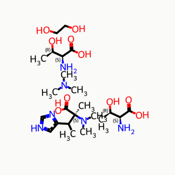 CC(c1c[nH]cn1)[C@@](C)(C(=O)O)N(C)C.CN(C)C.C[C@@H](O)[C@H](N)C(=O)O.C[C@@H](O)[C@H](N)C(=O)O.OCCO